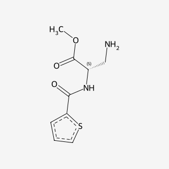 COC(=O)[C@H](CN)NC(=O)c1cccs1